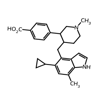 Cc1cc(C2CC2)c(CC2CCN(C)CC2c2ccc(C(=O)O)cc2)c2cc[nH]c12